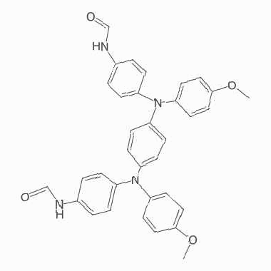 COc1ccc(N(c2ccc(NC=O)cc2)c2ccc(N(c3ccc(NC=O)cc3)c3ccc(OC)cc3)cc2)cc1